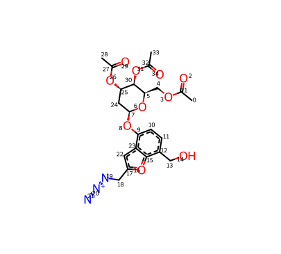 CC(=O)OC[C@H]1O[C@@H](Oc2ccc(CO)c3oc(CN=[N+]=[N-])cc23)C[C@@H](OC(C)=O)[C@H]1OC(C)=O